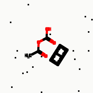 CC(=O)OC(=O)O.c1cc2ccc1-2